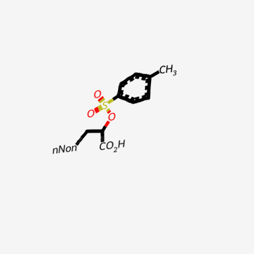 CCCCCCCCCCC(OS(=O)(=O)c1ccc(C)cc1)C(=O)O